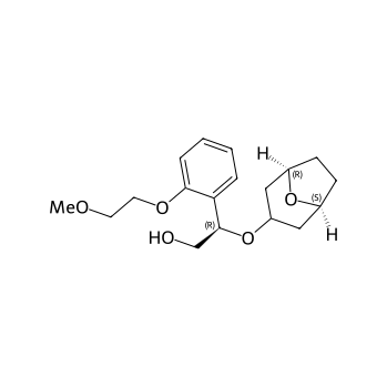 COCCOc1ccccc1[C@H](CO)OC1C[C@H]2CC[C@@H](C1)O2